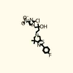 CC(O)(CCN1Cc2sc(-c3ccc(F)cc3)nc2C(C)(C)C1)Cn1cc([N+](=O)[O-])nc1Cl